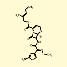 CCC=C(C)COC(=O)C1=CCS[C@H]2C(NC(=O)C(=NOC)c3csc(N)n3)C(=O)N12